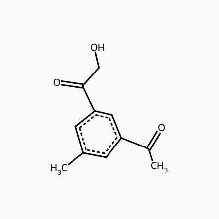 CC(=O)c1cc(C)cc(C(=O)CO)c1